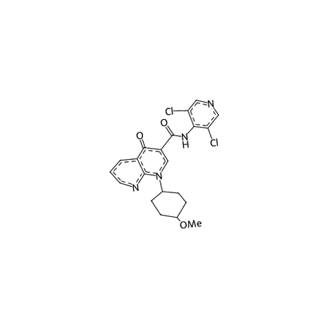 COC1CCC(n2cc(C(=O)Nc3c(Cl)cncc3Cl)c(=O)c3cccnc32)CC1